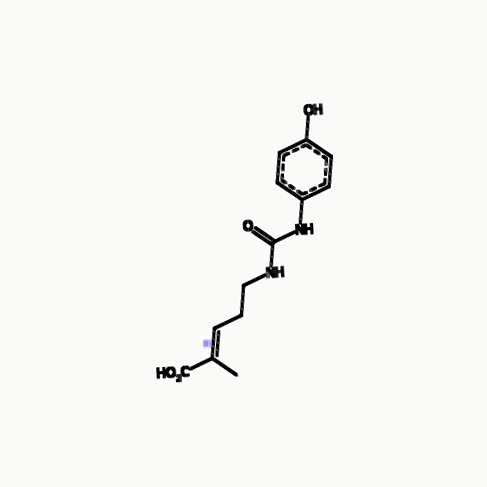 C/C(=C\CCNC(=O)Nc1ccc(O)cc1)C(=O)O